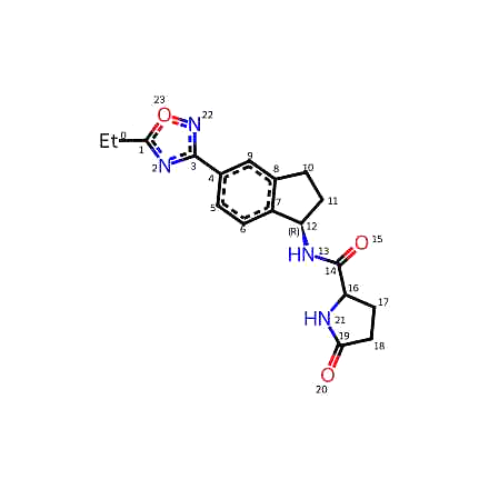 CCc1nc(-c2ccc3c(c2)CC[C@H]3NC(=O)C2CCC(=O)N2)no1